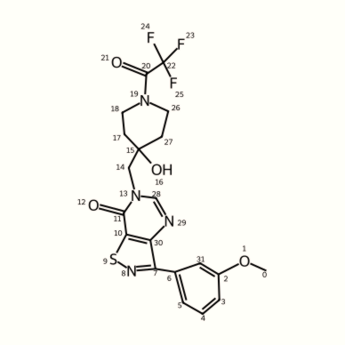 COc1cccc(-c2nsc3c(=O)n(CC4(O)CCN(C(=O)C(F)(F)F)CC4)cnc23)c1